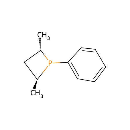 C[C@H]1C[C@H](C)P1c1ccccc1